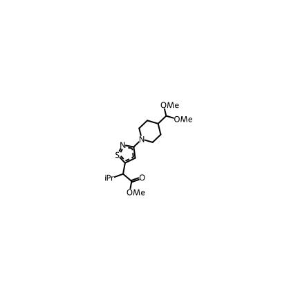 COC(=O)C(c1cc(N2CCC(C(OC)OC)CC2)ns1)C(C)C